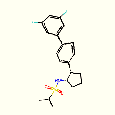 CC(C)S(=O)(=O)N[C@@H]1CCC[C@@H]1c1ccc(-c2cc(F)cc(F)c2)cc1